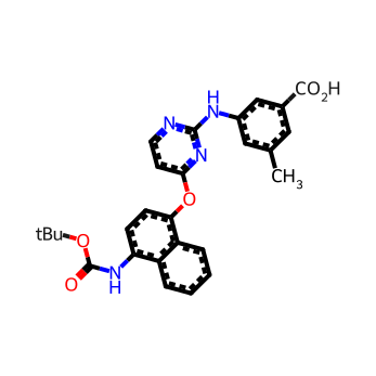 Cc1cc(Nc2nccc(Oc3ccc(NC(=O)OC(C)(C)C)c4ccccc34)n2)cc(C(=O)O)c1